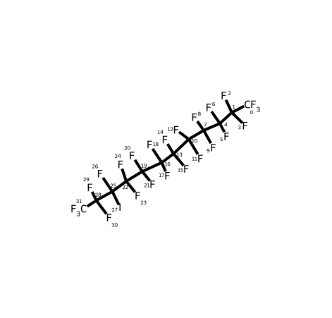 FC(F)(F)C(F)(F)C(F)(F)C(F)(F)C(F)(F)C(F)(F)C(F)(F)C(F)(F)C(F)(F)C(F)(I)C(F)(F)C(F)(F)F